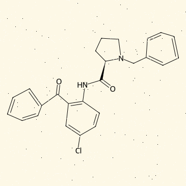 O=C(c1ccccc1)c1cc(Cl)ccc1NC(=O)[C@H]1CCCN1Cc1ccccc1